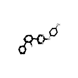 O[C@H]1CC[C@H](Nc2ncc(-c3cccc(-c4ccccc4)c3F)cn2)CC1